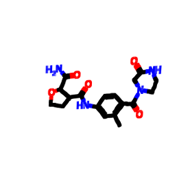 Cc1cc(NC(=O)[C]2CCOC2C(N)=O)ccc1C(=O)N1CCNC(=O)C1